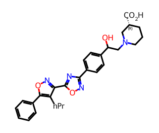 CCCc1c(-c2nc(-c3ccc(C(O)CN4CCC[C@@H](C(=O)O)C4)cc3)no2)noc1-c1ccccc1